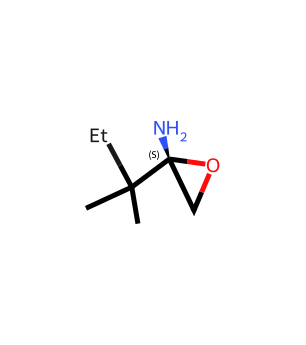 CCC(C)(C)[C@@]1(N)CO1